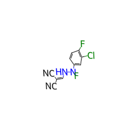 N#CC(C#N)=CNN(F)c1ccc(F)c(Cl)c1